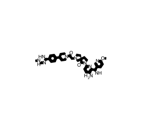 CN/C=N\C(=N)c1ccc(C2=CCN(C(=O)CN3CC[C@]4(CCN(c5ccc(N)c(C(=N)c6ccc(OC)nc6)n5)C4=O)C3)CC2)cc1